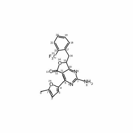 Cc1ccc(-c2nc(N)nc3c2C(=O)OC3Cc2ccccc2C(F)(F)F)o1